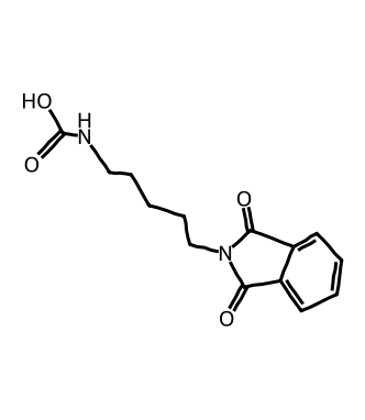 O=C(O)NCCCCCN1C(=O)c2ccccc2C1=O